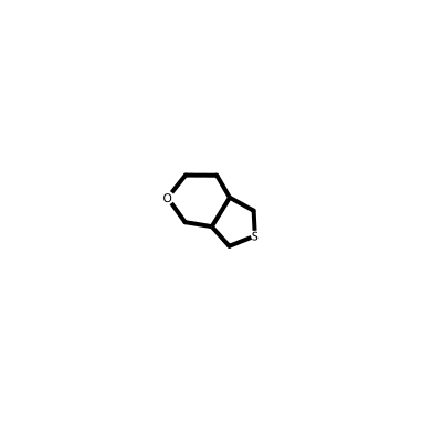 C1CC2CSCC2CO1